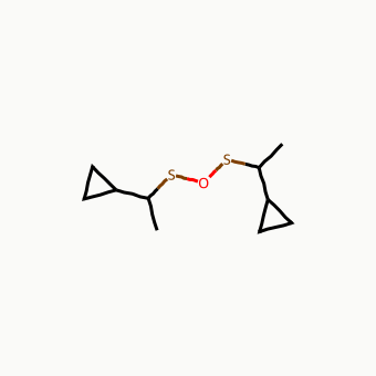 CC(SOSC(C)C1CC1)C1CC1